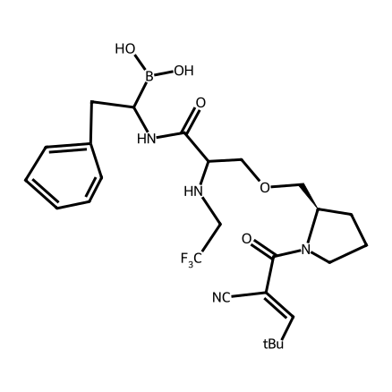 CC(C)(C)C=C(C#N)C(=O)N1CCC[C@@H]1COCC(NCC(F)(F)F)C(=O)NC(Cc1ccccc1)B(O)O